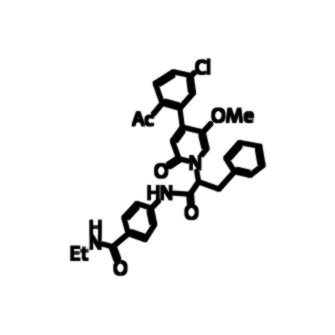 CCNC(=O)c1ccc(NC(=O)C(Cc2ccccc2)n2cc(OC)c(-c3cc(Cl)ccc3C(C)=O)cc2=O)cc1